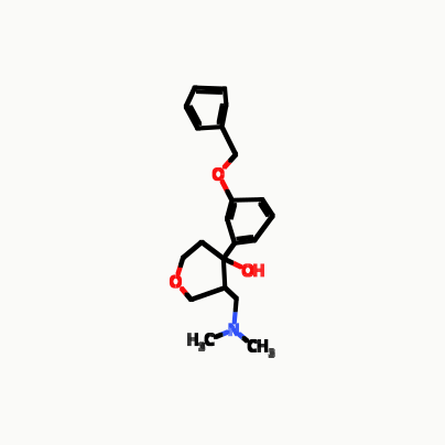 CN(C)CC1COCCC1(O)c1cccc(OCc2ccccc2)c1